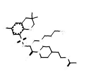 CC(=O)OCCC1CCN(C(=O)[C@H](CSCCCN)NS(=O)(=O)c2cc(Cl)cc3c2NCC(C)(C)C3)CC1